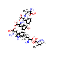 CC(C)C[C@H](N)C(=O)O.CC(C)[C@H](N)C(=O)O.CC[C@H](C)[C@H](N)C(=O)O.N[C@@H](Cc1c[nH]c2ccccc12)C(=O)O.N[C@@H](Cc1ccc(O)cc1)C(=O)O.N[C@@H](Cc1ccccc1)C(=O)O